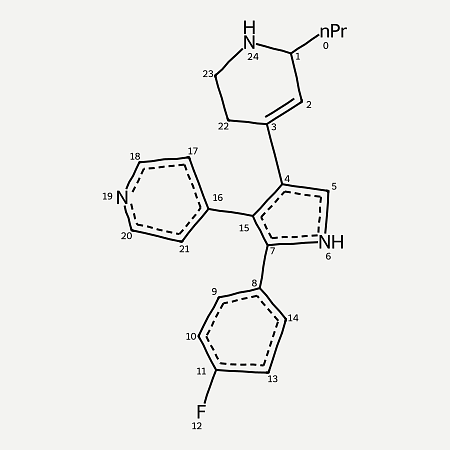 CCCC1C=C(c2c[nH]c(-c3ccc(F)cc3)c2-c2ccncc2)CCN1